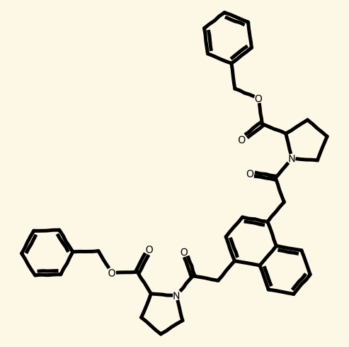 O=C(OCc1ccccc1)C1CCCN1C(=O)Cc1ccc(CC(=O)N2CCCC2C(=O)OCc2ccccc2)c2ccccc12